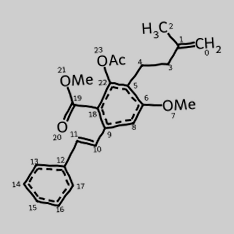 C=C(C)CCc1c(OC)cc(C=Cc2ccccc2)c(C(=O)OC)c1OC(C)=O